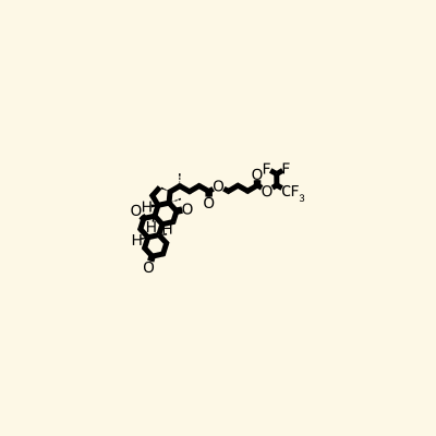 C[C@H](CCC(=O)OCCCC(=O)OC(C(F)F)C(F)(F)F)[C@H]1CC[C@H]2[C@@H]3C(=O)C[C@@H]4CC(=O)CC[C@]4(C)[C@H]3CC(=O)[C@]12C